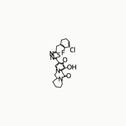 O=C1c2c(O)c(=O)c(-c3nnc(CC4=C(F)C(Cl)=CCC4)s3)cn2CC2CCCCN12